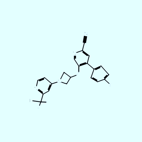 N#Cc1cc(-c2ccc(F)cc2)c(OC2CN(c3ccnc(C(F)(F)F)c3)C2)cn1